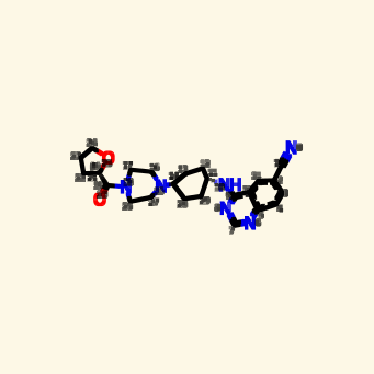 N#Cc1ccc2ncnc(N[C@H]3CC[C@H](N4CCN(C(=O)[C@H]5CCCO5)CC4)CC3)c2c1